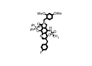 COc1ccc(CN2Cc3c(c(O[Si](C(C)C)(C(C)C)C(C)C)c4ncc(Cc5ccc(F)cc5)cc4c3NS(C)(=O)=O)C2=O)c(OC)c1